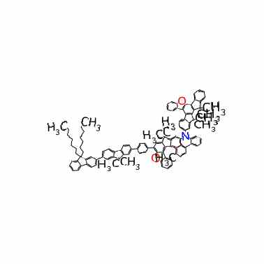 CCCCCCCC1(CCCCCCC)c2ccccc2-c2ccc(-c3ccc4c(c3)C(C)(C)c3cc(-c5ccc(-c6cc7c(c8c6oc6ccccc68)-c6ccc(N(c8ccc9c(c8)C(C)(C)c8c%10c(c%11oc%12ccccc%12c%11c8-9)-c8ccccc8C%10(C)C)c8ccccc8-c8ccc(C)cc8)cc6C7(C)C)cc5)ccc3-4)cc21